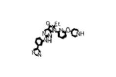 CCn1c(=O)c2cnc(Nc3cccc(-c4cncnc4)c3)nc2n1-c1cccc(OC2CCNCC2)n1